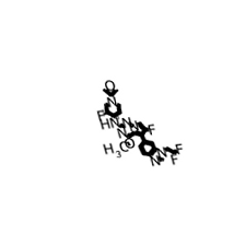 COc1nc(N[C@H]2CCN(C3COC3)C[C@@H]2F)nn2cc(F)c(-c3ccc4ncn(CC(F)F)c4c3)c12